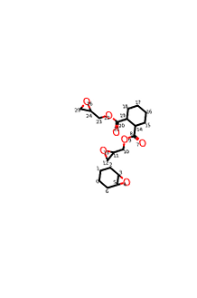 C1CCC2OC2C1.O=C(OCC1CO1)C1CCCCC1C(=O)OCC1CO1